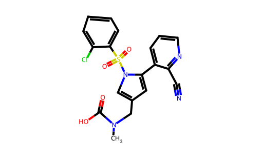 CN(Cc1cc(-c2cccnc2C#N)n(S(=O)(=O)c2ccccc2Cl)c1)C(=O)O